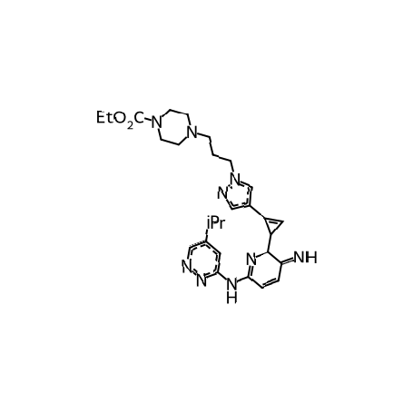 CCOC(=O)N1CCN(CCCn2cc(C3=CC3C3N=C(Nc4cc(C(C)C)cnn4)C=CC3=N)cn2)CC1